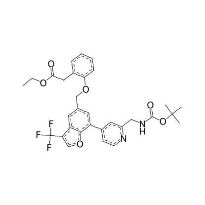 CCOC(=O)Cc1ccccc1OCc1cc(-c2ccnc(CNC(=O)OC(C)(C)C)c2)c2occ(C(F)(F)F)c2c1